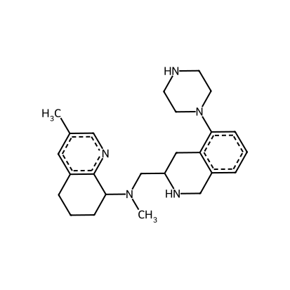 Cc1cnc2c(c1)CCCC2N(C)CC1Cc2c(cccc2N2CCNCC2)CN1